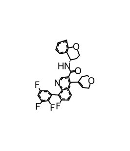 O=C(N[C@H]1CCOc2ccccc21)c1cnc2c(-c3cc(F)cc(F)c3F)c(F)ccc2c1C1=CCOCC1